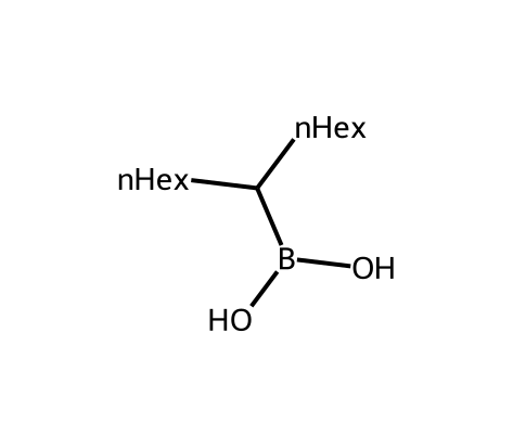 CCCCCCC(CCCCCC)B(O)O